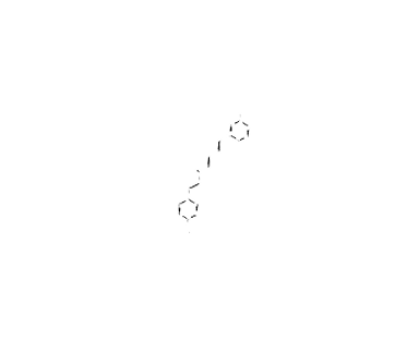 CN(C)c1ccc(/C=C/C(=O)/C=C/C=C/c2cccc(Cl)c2)cc1